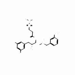 CCCN(CCC)S(=O)(=O)CCC(=O)O[C@H](CNCc1cccc(OC)c1)[C@@H](N)Cc1cc(F)cc(C(F)(F)F)c1